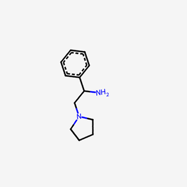 NC(CN1CCCC1)c1ccccc1